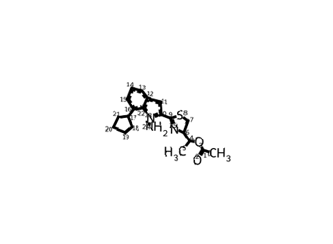 CC(=O)OC(C)C1CSC(c2cc3cccc(C4CCCC4)c3n2N)=N1